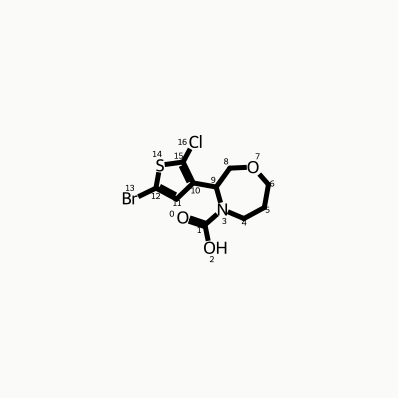 O=C(O)N1CCCOCC1c1cc(Br)sc1Cl